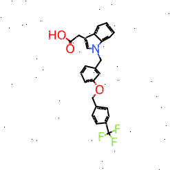 O=C(O)Cc1cn(Cc2cccc(OCc3ccc(C(F)(F)F)cc3)c2)c2ccccc12